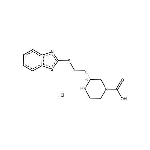 Cl.O=C(O)N1CCN[C@H](CCSc2nc3ccccc3s2)C1